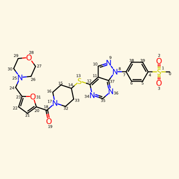 CS(=O)(=O)c1ccc(-n2ncc3c(SC4CCN(C(=O)c5ccc(CN6CCOCC6)o5)CC4)ncnc32)cc1